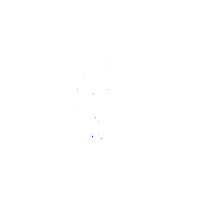 C[C@H](NC(=O)[C@@](C)(Cc1c[nH]c2ccccc12)N(Cc1cc(F)ccc1F)C(=O)O)c1ccccc1